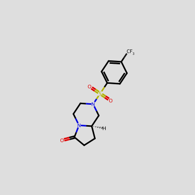 O=C1CC[C@@H]2CN(S(=O)(=O)c3ccc(C(F)(F)F)cc3)CCN12